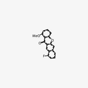 COc1cccc2oc3cc4cccc(F)c4cc3c(=O)c12